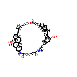 C[C@@H]1CCC(=O)OCCC[C@H](C)[C@@H]2CC[C@@H]3C4[C@H](O)CC5C[C@@H](CC[C@@]5(C)[C@@H]4CC[C@]32C)NC(=O)CCCC(=O)N[C@H]2CC[C@@]3(C)C(C2)C[C@H](O)C2[C@@H]4CC[C@H]1[C@@]4(C)CC[C@@H]23